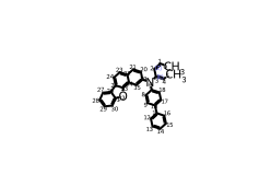 C/C=C\C(=C/C)N(c1ccc(-c2ccccc2)cc1)c1ccc2ccc3c4ccccc4oc3c2c1